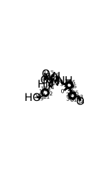 Cc1c(CNc2ncc([N+](=O)[O-])c(NC[C@H]3CC[C@H](CO)CC3)n2)cccc1-c1cccc(C=O)c1